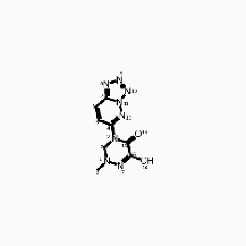 CN1[CH]N(c2ccc3nnnn3n2)C(=O)C(O)=N1